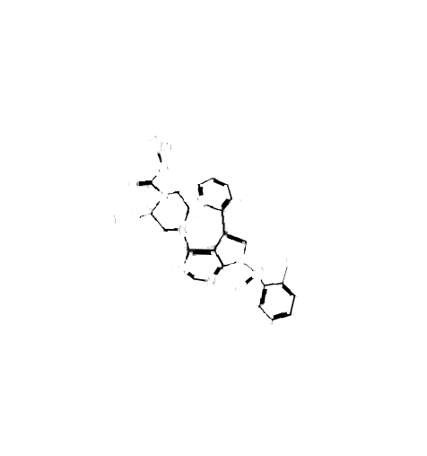 Cc1ccccc1S(=O)(=O)n1cc(-c2ccccn2)c2c(N3CCN(C(=O)OC(C)(C)C)[C@H](C)C3)ncnc21